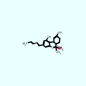 CCCCCc1cc(O)c2c(c1)OC(C)(C)[C@]1(C)CCC(C)=CC21